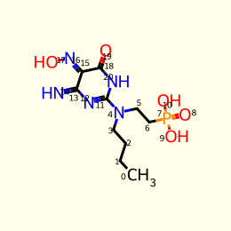 CCCCN(CCP(=O)(O)O)C1=NC(=N)/C(=N\O)C(=O)N1